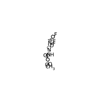 COC(=O)c1ccc([S+]([O-])NCCN2CCC(CN(C(=O)C(F)(F)F)C3CC3c3ccc(F)cc3)CC2)cc1